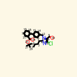 CCCCc1nc(Cl)c(C=O)n1Cc1ccc(-c2ccccc2C(=O)OC(C)(C)C)cc1